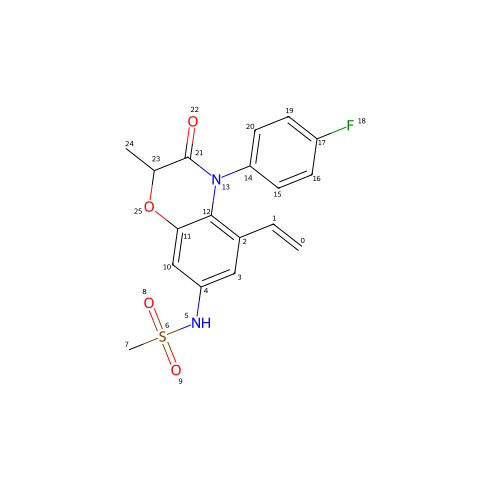 C=Cc1cc(NS(C)(=O)=O)cc2c1N(c1ccc(F)cc1)C(=O)C(C)O2